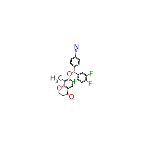 Cc1c(OC(c2ccc(C#N)cc2)c2ccc(F)c(F)c2)c(F)cc2c1OCCC2=O